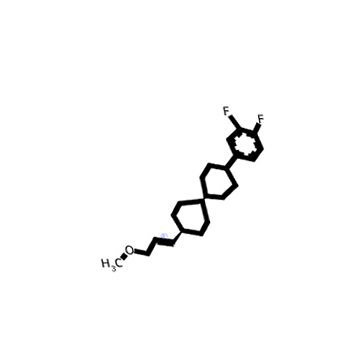 COC/C=C/[C@H]1CC[C@H](C2CCC(c3ccc(F)c(F)c3)CC2)CC1